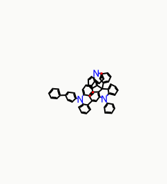 c1ccc(-c2ccc(N(c3ccc(-c4cccnc4)cc3)c3ccccc3-c3ccc4c(c3)N(c3ccccc3)c3ccccc3C4(c3ccccc3)c3ccccc3)cc2)cc1